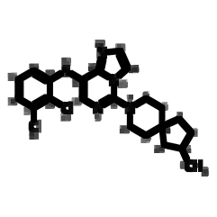 CC1CCC2(CCN(c3ncc(Sc4cccc(Cl)c4Cl)c4nccn34)CC2)C1